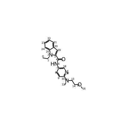 CCn1c(C(=O)Nc2ccc(N(C)CCOC)nc2)cc2ccccc21